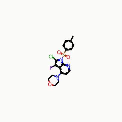 Cc1ccc(S(=O)(=O)n2c(Cl)c(I)c3c(N4CCOCC4)ccnc32)cc1